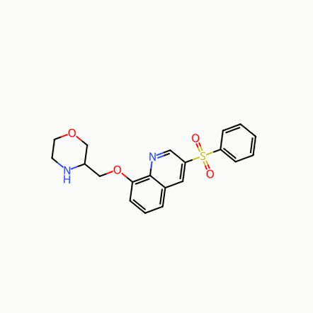 O=S(=O)(c1ccccc1)c1cnc2c(OCC3COCCN3)cccc2c1